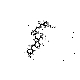 C=C(C)c1c(-c2noc(CNC(=O)c3cnn(C(C)(C)C)c3)n2)nc2c(N[C@@H]3CCN(C)C[C@@H]3F)cccn12